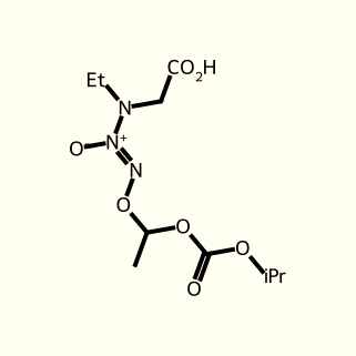 CCN(CC(=O)O)/[N+]([O-])=N/OC(C)OC(=O)OC(C)C